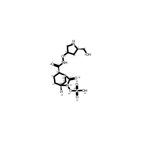 O=C(NOC1CN[C@@H](CO)C1)[C@@H]1CC[C@@H]2CN1C(=O)N2OS(=O)(=O)O